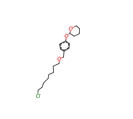 ClCCCCCCCCOCc1ccc(OC2CCCCO2)cc1